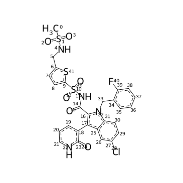 CS(=O)(=O)NCc1ccc(S(=O)(=O)NC(=O)c2c(-c3ccc[nH]c3=O)c3cc(Cl)ccc3n2Cc2ccccc2F)s1